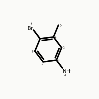 Cc1cc([NH])ccc1Br